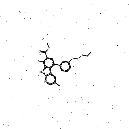 CCOOSc1cccc(-c2cc(C(=O)OC)c(C)c3[nH]c4ncc(C)cc4c23)c1